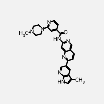 Cc1c[nH]c2ncc(-c3ccc4cnc(NC(=O)c5ccnc(N6CCN(C)CC6)c5)cc4n3)cc12